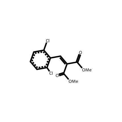 COC(=O)C(=Cc1c(Cl)cccc1Cl)C(=O)OC